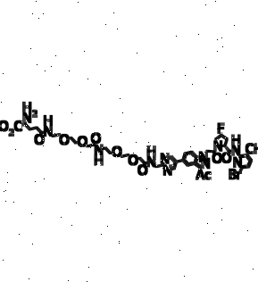 CC(=O)c1nn(CC(=O)N2C[C@H](F)C[C@H]2C(=O)Nc2nc(Br)ccc2C)c2ccc(-c3cnc(CNC(=O)COCCOCCNC(=O)COCCOCCNC(=O)CC[C@H](N)C(=O)O)nc3)cc12